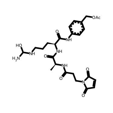 CC(=O)OCc1ccc(NC(=O)[C@H](CCCNC(N)O)NC(=O)[C@H](C)NC(=O)CCN2C(=O)C=CC2=O)cc1